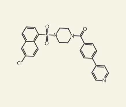 O=C(c1ccc(-c2ccncc2)cc1)N1CCN(S(=O)(=O)c2cccc3cc(Cl)ccc23)CC1